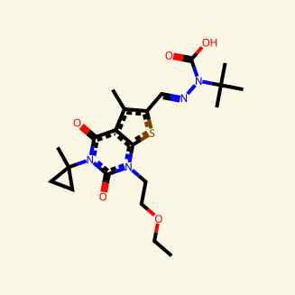 CCOCCn1c(=O)n(C2(C)CC2)c(=O)c2c(C)c(/C=N/N(C(=O)O)C(C)(C)C)sc21